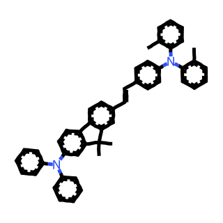 Cc1ccccc1N(c1ccc(/C=C/c2ccc3c(c2)C(C)(C)c2cc(N(c4ccccc4)c4ccccc4)ccc2-3)cc1)c1ccccc1C